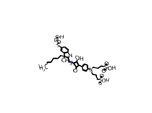 CCCCCCC1(C)C(/C=C2/C(=O)C(c3ccc(N(CCCS(=O)(=O)O)CCCS(=O)(=O)O)cc3)=C2O)=Nc2ccc(SOOO)cc21